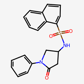 O=C1CC(NS(=O)(=O)c2cccc3ccccc23)CN1c1ccccc1